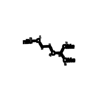 CCCCOCCOC(OC)OC